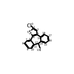 Clc1cc2c(s1)-c1ccccc1C(I)c1ccccc1-2